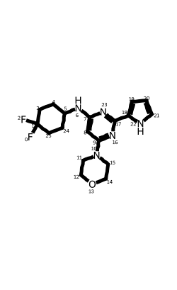 FC1(F)CCC(Nc2cc(N3CCOCC3)nc(-c3ccc[nH]3)n2)CC1